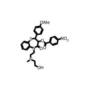 COc1ccc(C2Sc3ccccc3N(CCN(C)CCO)C(=O)C2OC(=O)c2ccc([N+](=O)[O-])cc2)cc1